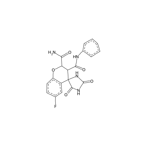 NC(=O)C1Oc2ccc(F)cc2C2(NC(=O)NC2=O)C1C(=O)Nc1ccccc1